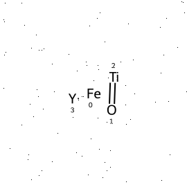 [Fe].[O]=[Ti].[Y]